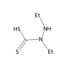 CCNN(CC)C(=S)S